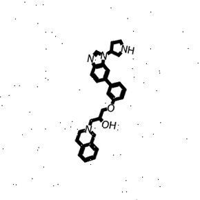 OC(COc1cccc(-c2ccc3ncn(C4CCNC4)c3c2)c1)CN1CCc2ccccc2C1